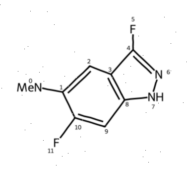 CNc1cc2c(F)n[nH]c2cc1F